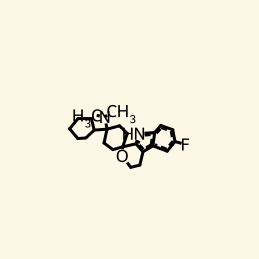 CN(C)C1(C2CCCCC2)CCC2(CC1)OCCc1c2[nH]c2ccc(F)cc12